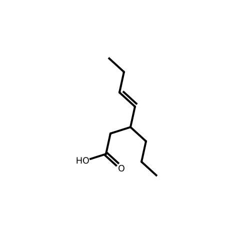 CCC=CC(CCC)CC(=O)O